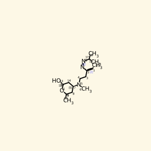 C/C=C(CCN(C)[C@H]1C[C@@H](C)O[C@@H](O)C1)\N=N/C(C)C